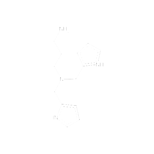 NCCCN(Cc1ccc[nH]1)Cc1ccc[nH]1